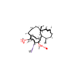 CC1CCCCC2(C)CCCCc3cc(c(O)c(I)c3O)C12